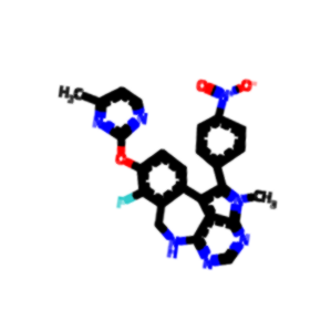 Cc1ccnc(Oc2ccc3c(c2F)CNc2ncnc4c2c-3c(-c2ccc([N+](=O)[O-])cc2)n4C)n1